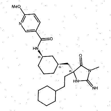 COc1ccc(C(=O)N[C@@H]2CCC[C@H](C[C@@]3(CCC4CCCCC4)NC(=N)N(C)C3=O)C2)cn1